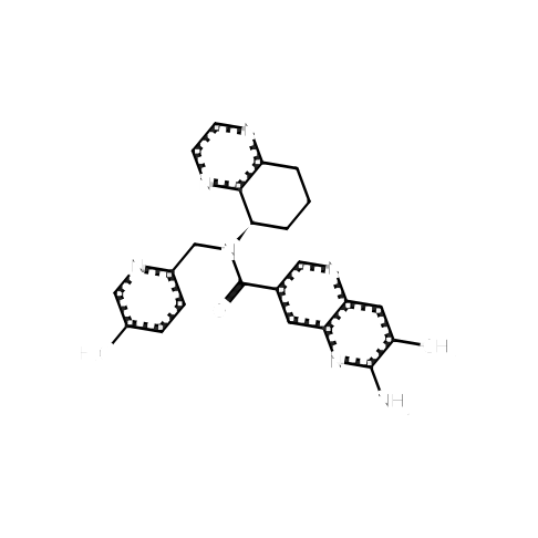 Cc1cc2ncc(C(=O)N(Cc3ccc(C(F)(F)F)cn3)[C@@H]3CCCc4nccnc43)cc2nc1N